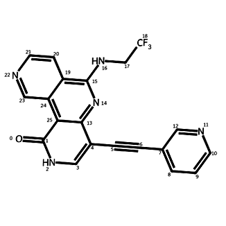 O=c1[nH]cc(C#Cc2cccnc2)c2nc(NCC(F)(F)F)c3ccncc3c12